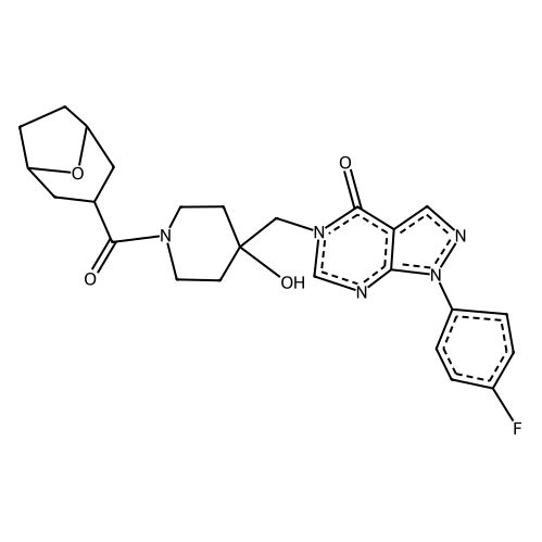 O=C(C1CC2CCC(C1)O2)N1CCC(O)(Cn2cnc3c(cnn3-c3ccc(F)cc3)c2=O)CC1